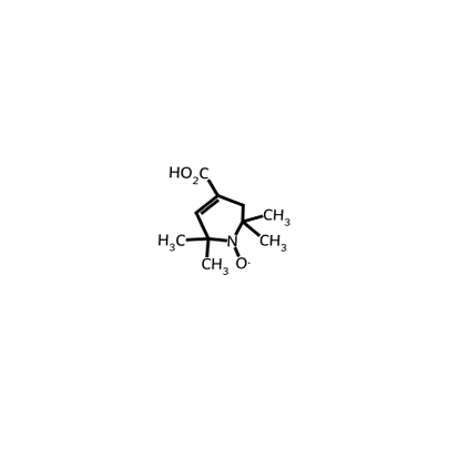 CC1(C)C=C(C(=O)O)CC(C)(C)N1[O]